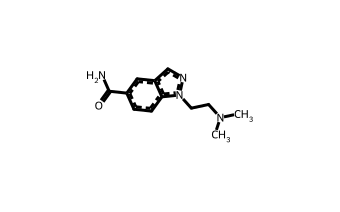 CN(C)CCn1ncc2cc(C(N)=O)ccc21